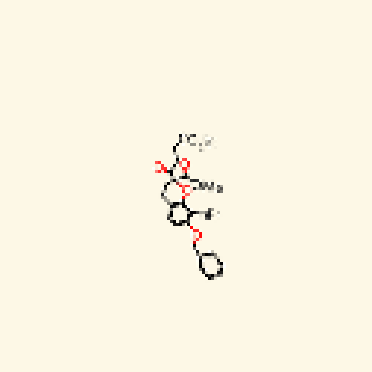 CCCc1c(OCc2ccccc2)ccc2c1OC(C(=O)CCC(=O)OCC)(C(=O)OC)CC2